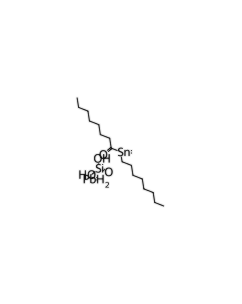 CCCCCCC[CH2][Sn][C](=O)CCCCCCC.O=[Si](O)O.[PbH2]